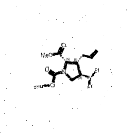 C=CC[C@H]1[C@@H](C(=O)OC)N(C(=O)OC(C)(C)C)C[C@@H]1N(CC)CC